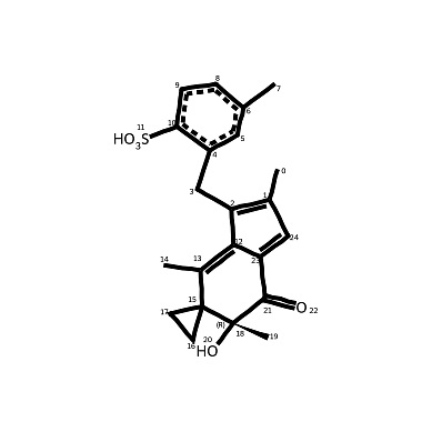 CC1=C(Cc2cc(C)ccc2S(=O)(=O)O)C2=C(C)C3(CC3)[C@@](C)(O)C(=O)C2=C1